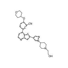 N#Cc1cc(-c2ccnc3cc(-c4cnn(C5CCN(CCO)CC5)c4)sc23)ccc1OC1CCOCC1